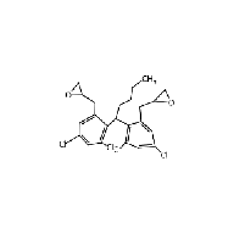 CCCCC(c1c(Cl)cc(Cl)cc1CC1CO1)c1c(Cl)cc(Cl)cc1CC1CO1